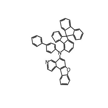 c1ccc(-c2ccc(N(c3cccc4c3-c3ccccc3C43c4ccccc4-c4ccccc43)c3cc4oc5ccccc5c4c4ccncc34)cc2)cc1